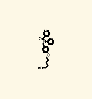 CCCCCCCCCCCCCCOc1ccc(CN(C(=O)c2cccnc2)c2ccccc2)cc1